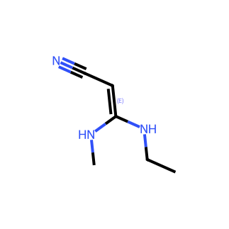 CCN/C(=C/C#N)NC